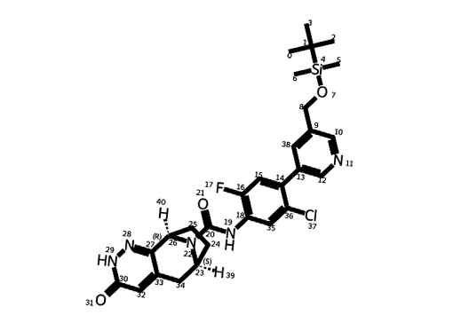 CC(C)(C)[Si](C)(C)OCc1cncc(-c2cc(F)c(NC(=O)N3[C@H]4CC[C@@H]3c3n[nH]c(=O)cc3C4)cc2Cl)c1